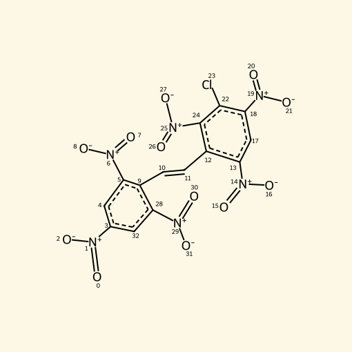 O=[N+]([O-])c1cc([N+](=O)[O-])c(C=Cc2c([N+](=O)[O-])cc([N+](=O)[O-])c(Cl)c2[N+](=O)[O-])c([N+](=O)[O-])c1